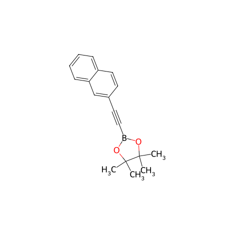 CC1(C)OB(C#Cc2ccc3ccccc3c2)OC1(C)C